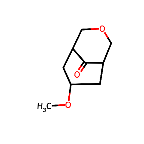 COC1CC2COCC(C1)C2=O